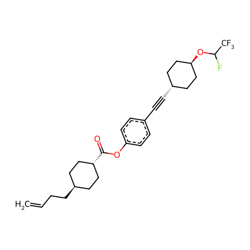 C=CCC[C@H]1CC[C@H](C(=O)Oc2ccc(C#C[C@H]3CC[C@H](OC(F)C(F)(F)F)CC3)cc2)CC1